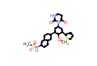 COc1c(-c2ccc3cc(NS(C)(=O)=O)ccc3c2)cc(-n2c(=O)cc[nH]c2=O)cc1-c1cccs1